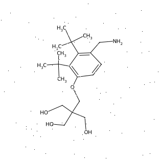 CC(C)(C)c1c(CN)ccc(OCC(CO)(CO)CO)c1C(C)(C)C